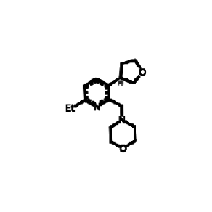 CCc1ccc([C@H]2CCOC2)c(CN2CCOCC2)n1